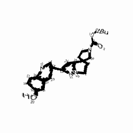 CC(C)(C)OC(=O)N1CCC2(CCn3nc(-c4cnc5ccc(O)cc5c4)cc32)C1